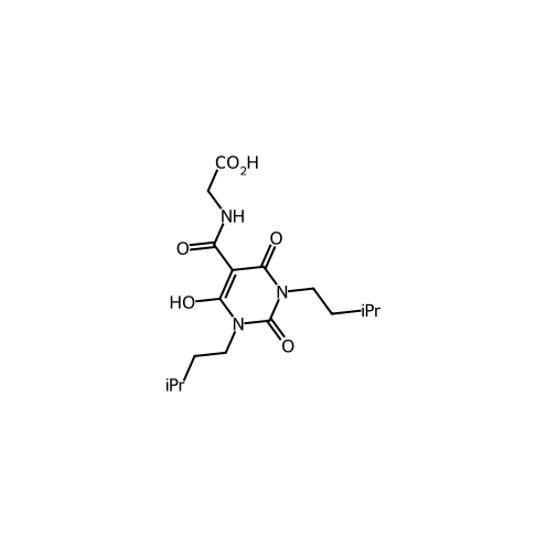 CC(C)CCn1c(O)c(C(=O)NCC(=O)O)c(=O)n(CCC(C)C)c1=O